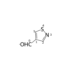 O=[C]c1cnsc1